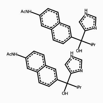 CC(=O)Nc1ccc2cc(C(O)(c3c[nH]cn3)C(C)C)ccc2c1.CC(=O)Nc1ccc2cc(C(O)(c3c[nH]cn3)C(C)C)ccc2c1